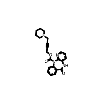 O=C1Nc2cccnc2N(C(=O)OCC#CCN2CCCCC2)c2ccccc21